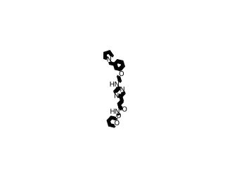 O=C(/C=C/c1cnc(NCCOc2cccc(CN3CCCC3)c2)cn1)NOC1CCCCO1